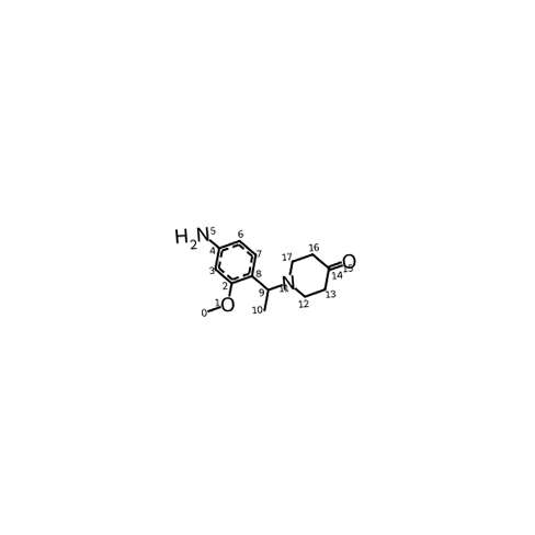 COc1cc(N)ccc1C(C)N1CCC(=O)CC1